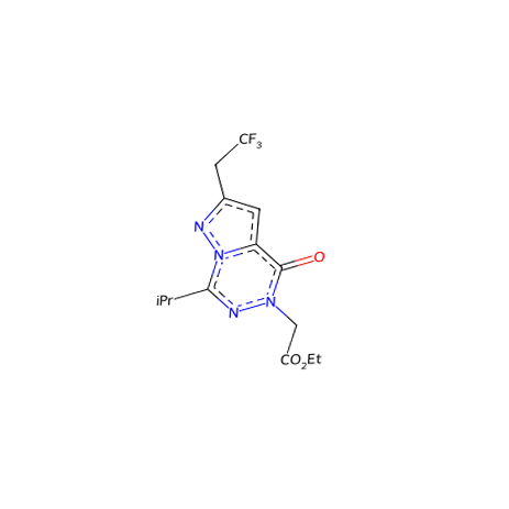 CCOC(=O)Cn1nc(C(C)C)n2nc(CC(F)(F)F)cc2c1=O